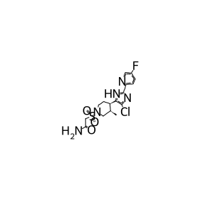 C[C@H]1CN(S(=O)(=O)CC(N)=O)CC[C@H]1c1[nH]c(-c2ccc(F)cn2)nc1Cl